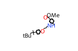 COC(=O)c1ccc(C)c(NCCCOc2ccc(C(C)(C)CC(C)(C)C)cc2)c1